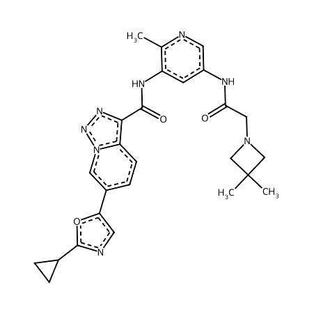 Cc1ncc(NC(=O)CN2CC(C)(C)C2)cc1NC(=O)c1nnn2cc(-c3cnc(C4CC4)o3)ccc12